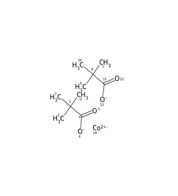 CC(C)(C)C(=O)[O-].CC(C)(C)C(=O)[O-].[Co+2]